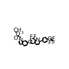 CCOC(=O)Cn1ccc2ccc(OCc3ccc(-c4ccc(OC(F)(F)F)cc4)nc3C(F)(F)F)cc21